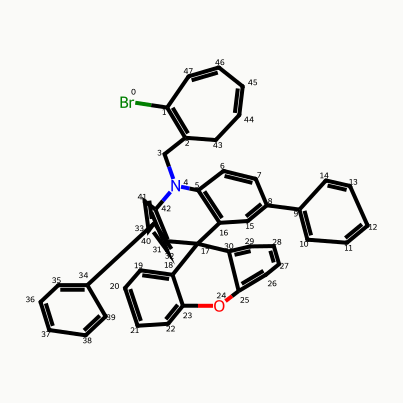 BrC1=C(CN2c3ccc(-c4ccccc4)cc3C3(c4ccccc4Oc4ccccc43)c3cc(-c4ccccc4)ccc32)CC=CC=C1